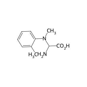 Cc1ccccc1N(C)C(N)C(=O)O